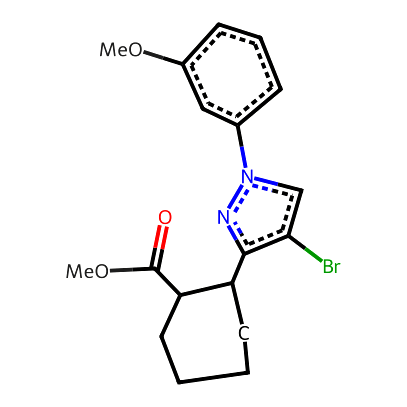 COC(=O)C1CCCCC1c1nn(-c2cccc(OC)c2)cc1Br